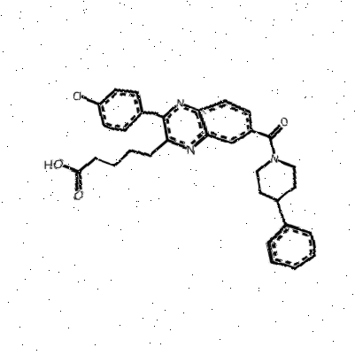 O=C(O)CCCCc1nc2cc(C(=O)N3CCC(c4ccccc4)CC3)ccc2nc1-c1ccc(Cl)cc1